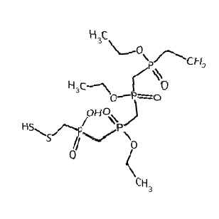 CCOP(=O)(CC)CP(=O)(CP(=O)(CP(=O)(O)CSS)OCC)OCC